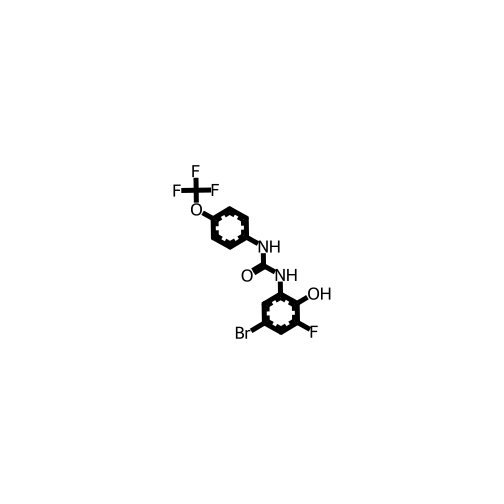 O=C(Nc1ccc(OC(F)(F)F)cc1)Nc1cc(Br)cc(F)c1O